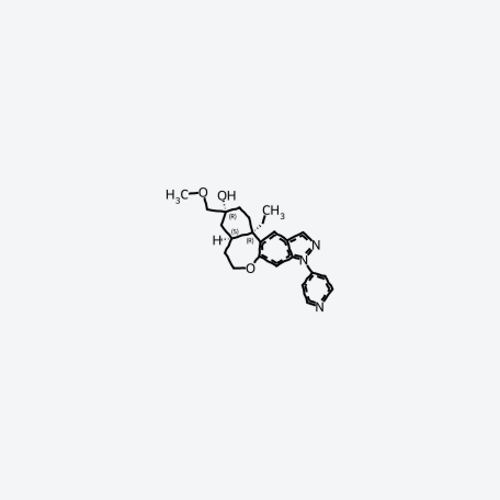 CC[C@@]12CC[C@](O)(COC)C[C@@H]1CCOc1cc3c(cnn3-c3ccncc3)cc12